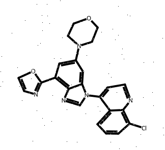 Clc1cccc2c(-n3cnc4c(-c5ncco5)cc(N5CCOCC5)cc43)ccnc12